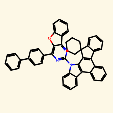 c1ccc(-c2ccc(-c3nc(-n4c5ccccc5c5c6ccccc6c6c(c54)C4(CCCCC4)c4ccccc4-6)nc4c3oc3ccccc34)cc2)cc1